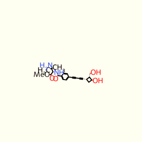 COC(=O)[C@@H](NC(=O)c1ccc(C#CC#C[C@H]2CC(O)[C@H]2CO)cc1)C(C)(C)N